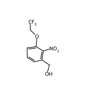 O=[N+]([O-])c1c([CH]O)cccc1OCC(F)(F)F